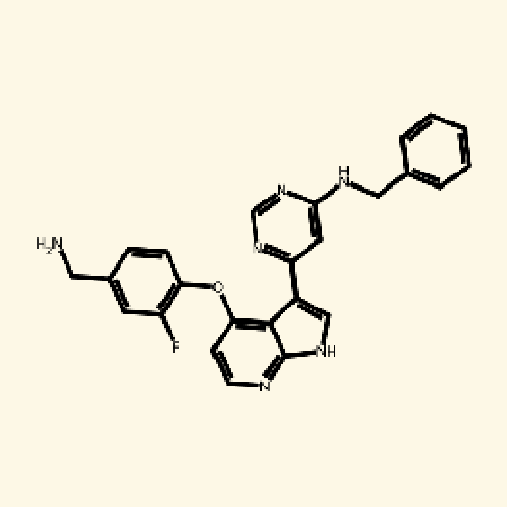 NCc1ccc(Oc2ccnc3[nH]cc(-c4cc(NCc5ccccc5)ncn4)c23)c(F)c1